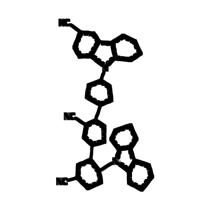 N#Cc1ccc(-n2c3ccccc3c3ccccc32)c(-c2ccc(-c3ccc(-n4c5ccccc5c5cc(C#N)ccc54)cc3)c(C#N)c2)c1